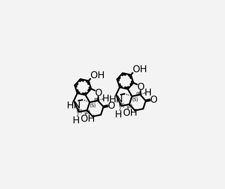 O=C1CC[C@@]2(O)[C@H]3Cc4ccc(O)c5c4[C@@]2(CCN3)[C@H]1O5.O=C1CC[C@@]2(O)[C@H]3Cc4ccc(O)c5c4[C@@]2(CCN3)[C@H]1O5